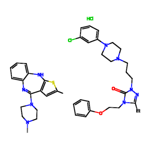 CCc1nn(CCCN2CCN(c3cccc(Cl)c3)CC2)c(=O)n1CCOc1ccccc1.Cc1cc2c(s1)Nc1ccccc1N=C2N1CCN(C)CC1.Cl